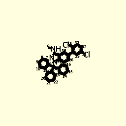 CNc1nn(C(c2ccccc2)(c2ccccc2)c2ccccc2)c2ccc(-c3cc(Cl)ccc3Cl)cc12